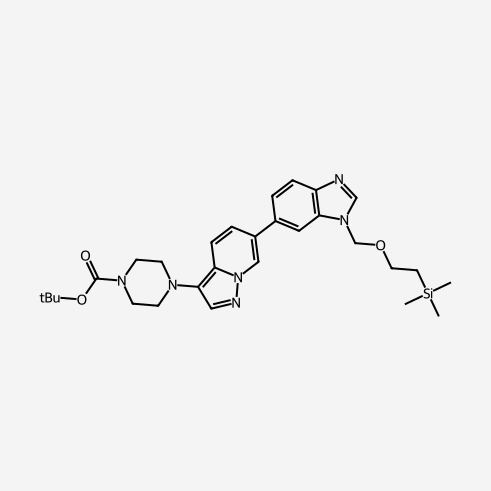 CC(C)(C)OC(=O)N1CCN(c2cnn3cc(-c4ccc5ncn(COCC[Si](C)(C)C)c5c4)ccc23)CC1